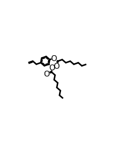 C=CCc1ccc(OC(=O)CCCCCCC)c(OC(=O)CCCCCCC)c1